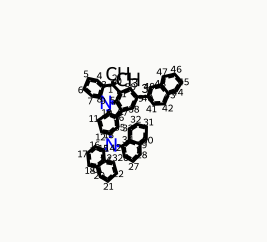 CC1(C)c2ccccc2-n2c3ccc(N(c4cccc5ccccc45)c4cccc5ccccc45)cc3c3cc(-c4ccc5ccccc5c4)cc1c32